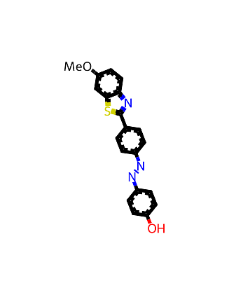 COc1ccc2nc(-c3ccc(N=Nc4ccc(O)cc4)cc3)sc2c1